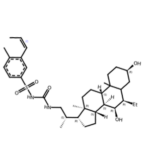 C/C=C\c1cc(S(=O)(=O)NC(=O)NC[C@@H](C)[C@H]2CC[C@H]3[C@@H]4[C@H](O)[C@H](CC)C5C[C@H](O)CCC5(C)[C@H]4CC[C@]23C)ccc1C